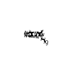 COCCCn1nc(C)c2cnc(Nc3cn4ncnc4cc3C)nc21